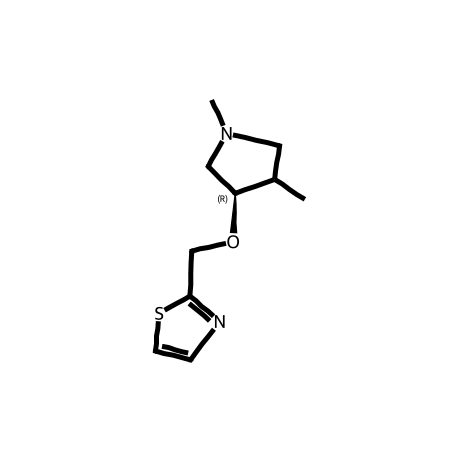 CC1CN(C)C[C@@H]1OCc1nccs1